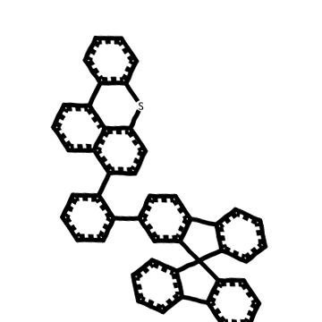 c1ccc2c(c1)Sc1ccc(-c3ccccc3-c3ccc4c(c3)C3(c5ccccc5-c5ccccc53)c3ccccc3-4)c3cccc-2c13